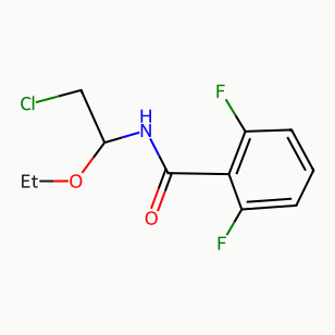 CCOC(CCl)NC(=O)c1c(F)cccc1F